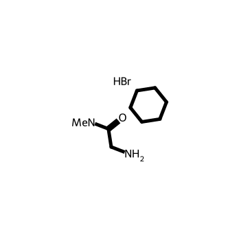 Br.C1CCCCC1.CNC(=O)CN